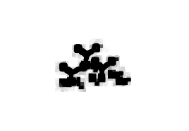 NC(=O)[O-].NC(=O)[O-].NC(=O)[O-].[Na+].[Na+].[Na+]